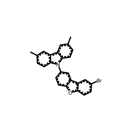 Cc1ccc2c(c1)c1cc(C)ccc1n2-c1ccc2oc3ccc(Br)cc3c2c1